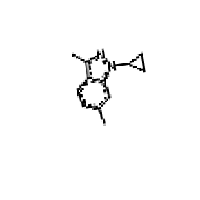 Cc1ccc2c(C)nn(C3CC3)c2c1